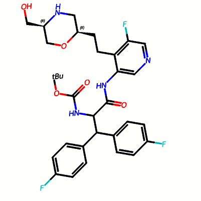 CC(C)(C)OC(=O)NC(C(=O)Nc1cncc(F)c1CC[C@@H]1CN[C@H](CO)CO1)C(c1ccc(F)cc1)c1ccc(F)cc1